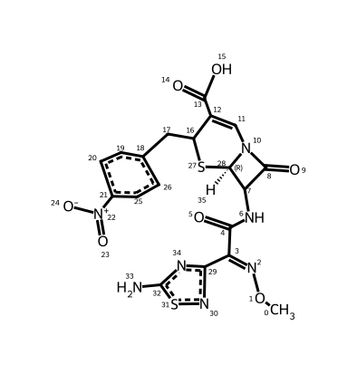 CON=C(C(=O)NC1C(=O)N2C=C(C(=O)O)C(Cc3ccc([N+](=O)[O-])cc3)S[C@H]12)c1nsc(N)n1